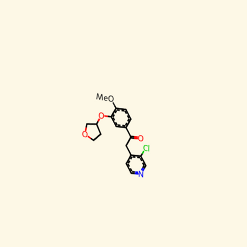 COc1ccc(C(=O)Cc2ccncc2Cl)cc1OC1CCOC1